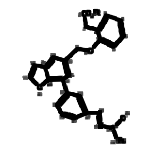 CCOC(=O)Cc1ccccc1OCc1cc(-c2cccc(/C=N/[S+]([O-])C(C)(C)C)c2)c2occc2c1